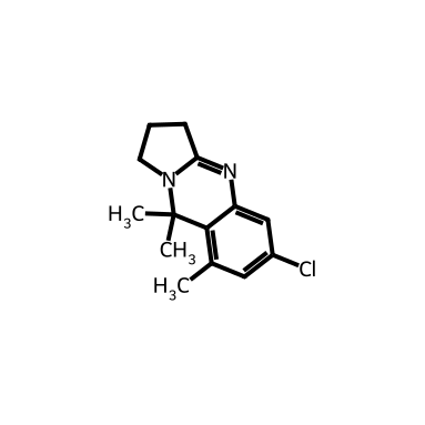 Cc1cc(Cl)cc2c1C(C)(C)N1CCCC1=N2